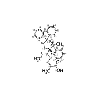 CCC(CC=C(C)C(=O)O)[Si]1(C)CCC(c2ccccc2)(c2ccccc2)O[Si]1(C)c1ccccc1